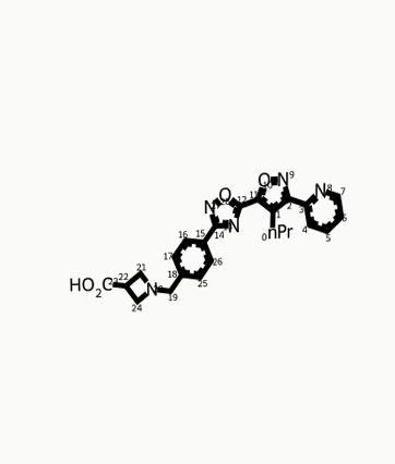 CCCc1c(-c2ccccn2)noc1-c1nc(-c2ccc(CN3CC(C(=O)O)C3)cc2)no1